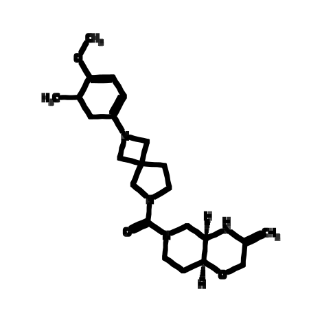 C=C1CO[C@H]2CCN(C(=O)N3CCC4(C3)CN(C3=CC=C(OC)C(C)C3)C4)C[C@H]2N1